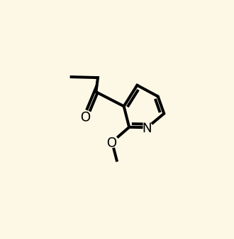 CCC(=O)c1cccnc1OC